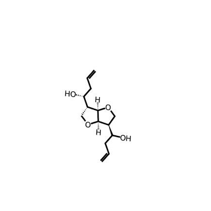 C=CCC(O)[C@@H]1CO[C@@H]2[C@@H]([C@H](O)CC=C)CO[C@@H]21